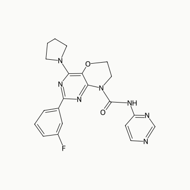 O=C(Nc1ccncn1)N1CCOc2c(N3CCCC3)nc(-c3cccc(F)c3)nc21